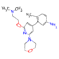 Cc1ccc(N)cc1-c1cc(OCCN(C)C)nc(N2CCOCC2)c1